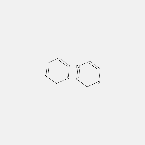 C1=CSCC=N1.C1=CSCN=C1